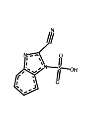 N#Cc1nc2ccccc2n1S(=O)(=O)O